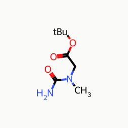 CN(CC(=O)OC(C)(C)C)C(N)=O